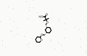 CC(C)(OC[C@@H]1CCC[C@H](COC2CCCCO2)C1)C(=O)O